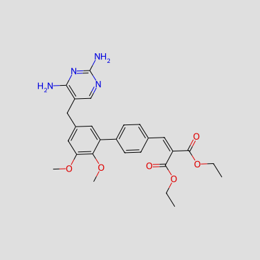 CCOC(=O)C(=Cc1ccc(-c2cc(Cc3cnc(N)nc3N)cc(OC)c2OC)cc1)C(=O)OCC